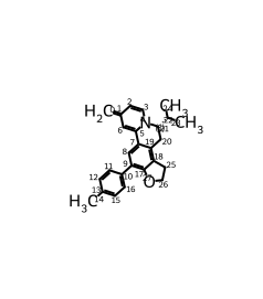 C=C1C=CN2C(=C1)c1cc(-c3ccc(C)cc3)c3c(c1C[C@H]2C(C)C)CCO3